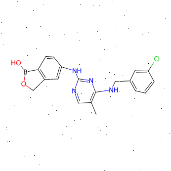 Cc1cnc(Nc2ccc3c(c2)COB3O)nc1NCc1cccc(Cl)c1